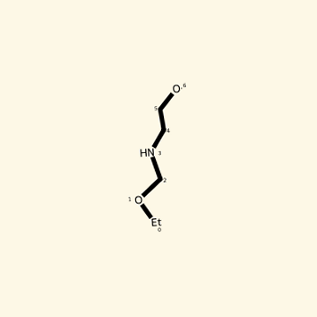 CCOCNCC[O]